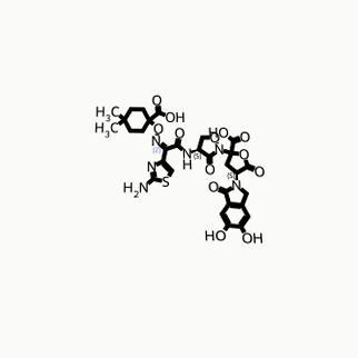 CC1(C)CCC(O/N=C(\C(=O)N[C@H]2CON(C3(C(=O)O)C[C@H](N4Cc5cc(O)c(O)cc5C4=O)C(=O)O3)C2=O)c2csc(N)n2)(C(=O)O)CC1